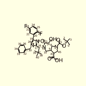 CC(C)(C)OC(=O)N1CC(CN(C(=O)CO)[C@@H](c2nc(-c3cc(F)ccc3F)cn2Cc2ccccc2)C(C)(C)C)C(C(=O)O)C1